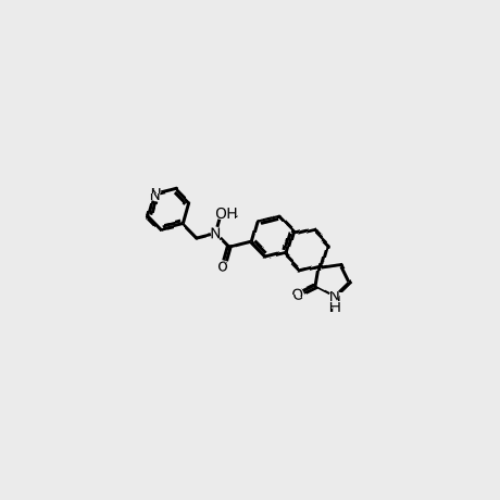 O=C(c1ccc2c(c1)CC1(CCNC1=O)CC2)N(O)Cc1ccncc1